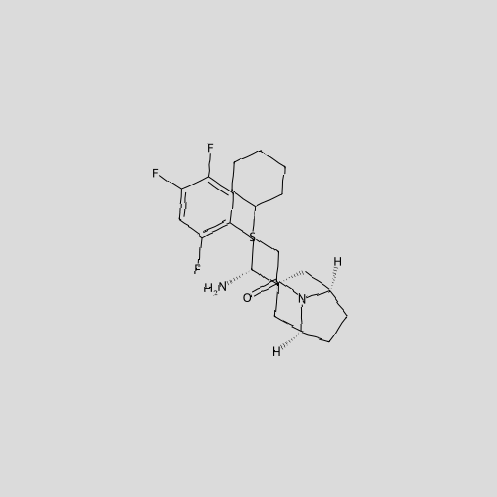 N[C@H](Cc1cc(F)c(F)cc1F)[C@@H]1C[C@H]2CC[C@@H](C1)N2C(=O)CSC1CCCCC1